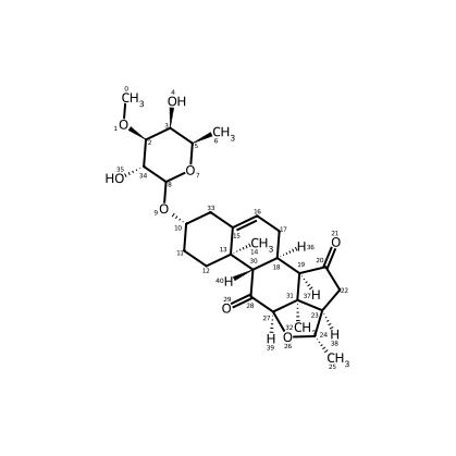 CO[C@H]1[C@@H](O)[C@@H](C)OC(O[C@H]2CC[C@@]3(C)C(=CC[C@H]4[C@H]5C(=O)C[C@H]6[C@H](C)O[C@@H](C(=O)[C@@H]43)[C@@]56C)C2)[C@@H]1O